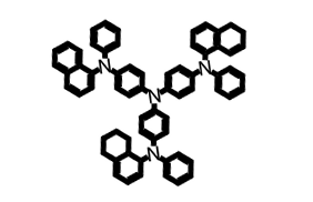 C1=CC(N(c2ccccc2)c2ccc(N(c3ccc(N(c4ccccc4)c4cccc5c4C=CCC5)cc3)c3ccc(N(c4ccccc4)c4cccc5ccccc45)cc3)cc2)C2CCCCC2=C1